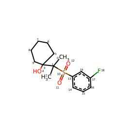 CC(C)(C1(O)CCCCC1)S(=O)(=O)c1cccc(F)c1